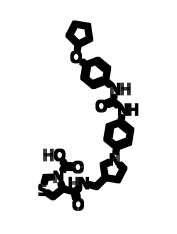 O=C(Nc1ccc(OC2CCCC2)cc1)Nc1ccc(N2CCC(CNC(=O)C3CSCN3C(=O)O)C2)cc1